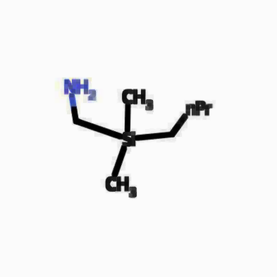 CCCC[Si](C)(C)CN